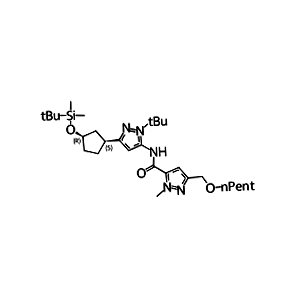 CCCCCOCc1cc(C(=O)Nc2cc([C@H]3CC[C@@H](O[Si](C)(C)C(C)(C)C)C3)nn2C(C)(C)C)n(C)n1